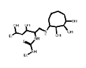 CCNC(=S)NC(CNC1CCCCC(O)C(O)C1O)C(O)CC(O)CC